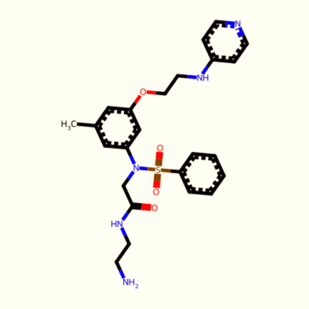 Cc1cc(OCCNc2ccncc2)cc(N(CC(=O)NCCN)S(=O)(=O)c2ccccc2)c1